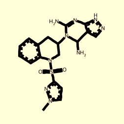 Cn1ccc(S(=O)(=O)N2CC(N3C(N)=Nc4[nH]ncc4C3N)Cc3ccccc32)n1